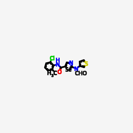 Cc1cccc(Cl)c1NC(=O)c1cnc(N(C=O)c2ccsc2)[se]1